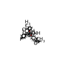 Cc1ccc([C@H]2CNC[C@]2(C(=O)C2CCN(C(=O)C3(C)CC3)CC2)N(C)C(=O)Oc2ccc(F)cc2)cc1Cl